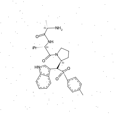 Cc1ccc(S(=O)(=O)C(c2c[nH]c3ccccc23)[C@@H]2CCCN2C(=O)[C@@H](NC(=O)[C@H](C)N)C(C)C)cc1